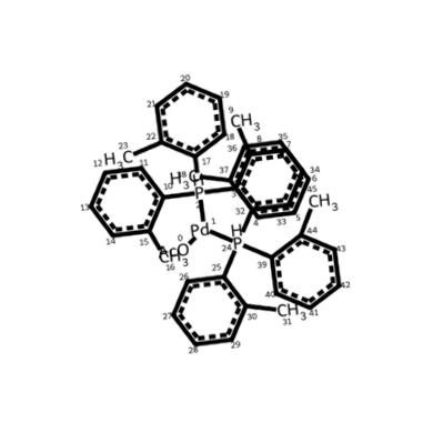 CC(=O)[O][Pd]([PH](c1ccccc1C)(c1ccccc1C)c1ccccc1C)[PH](c1ccccc1C)(c1ccccc1C)c1ccccc1C